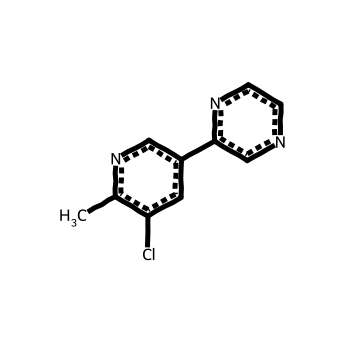 Cc1ncc(-c2cnccn2)cc1Cl